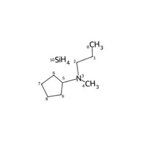 CCCN(C)C1CCCC1.[SiH4]